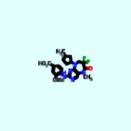 COc1cc(C(=O)O)ccc1Nc1ncc2c(n1)N(C1CC[C@@H](C)C1)CC(F)(F)C(=O)N2C